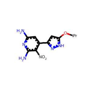 CC(C)Oc1cc(-c2cc(N)nc(N)c2[N+](=O)[O-])n[nH]1